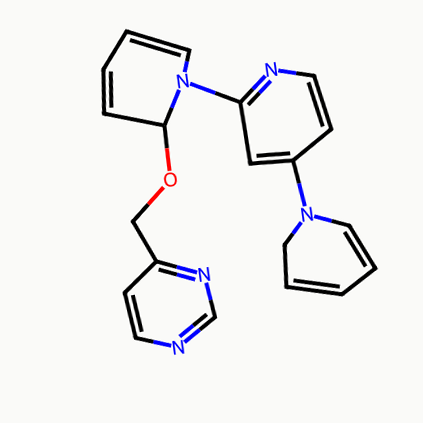 C1=CCN(c2ccnc(N3C=CC=CC3OCc3ccncn3)c2)C=C1